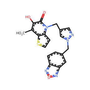 O=C(O)c1c(O)c(=O)n(Cc2cnn(Cc3ccc4nonc4c3)c2)c2ccsc12